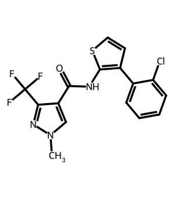 Cn1cc(C(=O)Nc2sccc2-c2ccccc2Cl)c(C(F)(F)F)n1